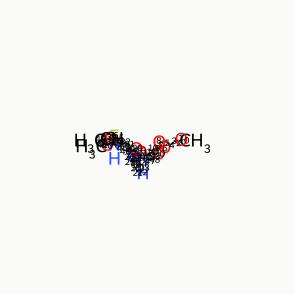 COCCCCOC(=O)c1cc2cc(NC(=O)[C@@H]3[C@H](C4CCCCC4)CCN3C(=O)C3CCC([C@@H](CF)NC(=O)OC(C)(C)C)CC3)ccc2o1